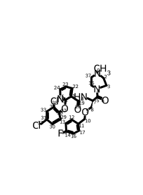 CN1CCN(C(=O)[C@@H](COCc2ccc(F)cc2)NC(=O)c2cccnc2Oc2ccc(Cl)cc2Cl)CC1